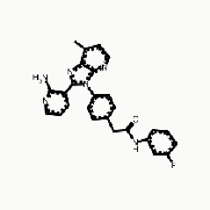 Cc1ccnc2c1nc(-c1cccnc1N)n2-c1ccc(CC(=O)Nc2cccc(F)c2)cc1